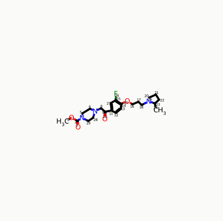 COC(=O)N1CCN(CC(=O)c2ccc(OCCCN3CCCC3C)c(F)c2)CC1